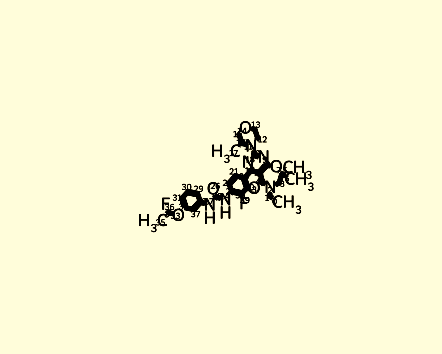 CCN1CC(C)(C)Oc2nc(N3CCOC[C@@H]3C)nc(-c3ccc(NC(=O)Nc4cccc(OC(C)F)c4)c(F)c3)c2C1=O